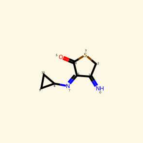 N=C1CSC(=O)C1=NC1CC1